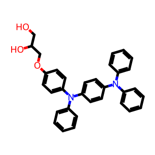 OCC(O)COc1ccc(N(c2ccccc2)c2ccc(N(c3ccccc3)c3ccccc3)cc2)cc1